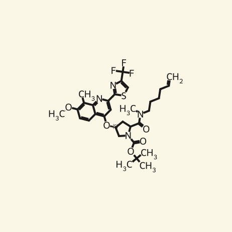 C=CCCCCN(C)C(=O)C1C[C@H](Oc2cc(-c3nc(C(F)(F)F)cs3)nc3c(C)c(OC)ccc23)CN1C(=O)OC(C)(C)C